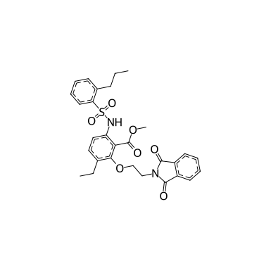 CCCc1ccccc1S(=O)(=O)Nc1ccc(CC)c(OCCN2C(=O)c3ccccc3C2=O)c1C(=O)OC